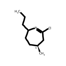 CCCC1CC[C@H](C)CC(Cl)=N1